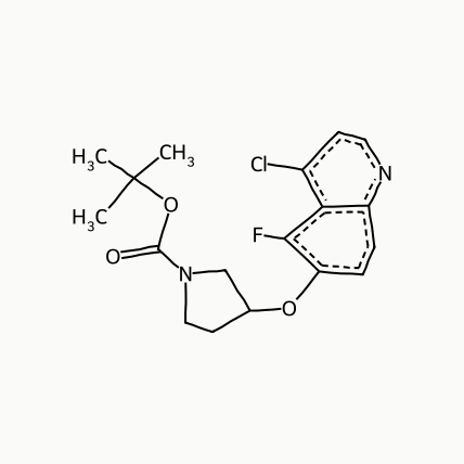 CC(C)(C)OC(=O)N1CCC(Oc2ccc3nccc(Cl)c3c2F)C1